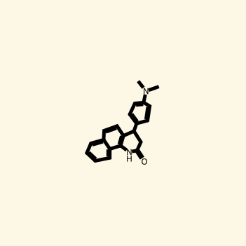 CN(C)c1ccc(C2CC(=O)Nc3c2ccc2ccccc32)cc1